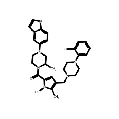 Cc1c(CN2CCN(c3ccccc3Cl)CC2)cc(C(=O)N2CCN(c3ccc4[nH]ccc4c3)CC2C)n1C